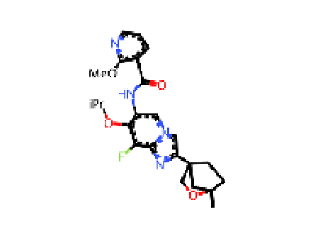 COc1ncccc1C(=O)Nc1cn2cc(C34CCC(C)(C3)OC4)nc2c(F)c1OC(C)C